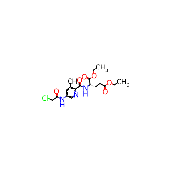 CCOC(=O)CC[C@H](NC(=O)c1ncc(NC(=O)CCl)cc1C)C(=O)OCC